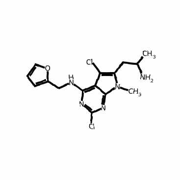 CC(N)Cc1c(Cl)c2c(NCc3ccco3)nc(Cl)nc2n1C